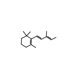 [CH2]/C=C(C)/C=C/C1=C(C)CCCC1(C)C